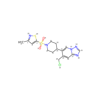 Cc1cc(S(=O)(=O)N2CCC(c3cn4ncnc4cc3CCl)CC2)sn1